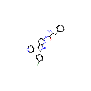 NC(Cc1ccccc1)C(=O)Nc1ccc2c(-c3ccncc3)c(-c3ccc(F)cc3)[nH]c2n1